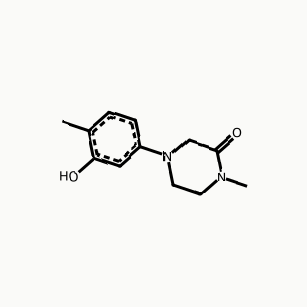 Cc1ccc(N2CCN(C)C(=O)C2)cc1O